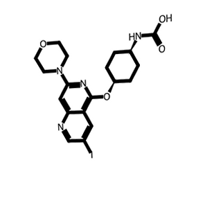 O=C(O)N[C@H]1CC[C@@H](Oc2nc(N3CCOCC3)cc3ncc(I)cc23)CC1